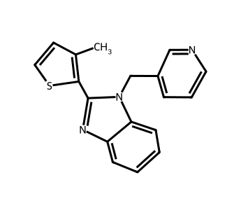 Cc1ccsc1-c1nc2ccccc2n1Cc1cccnc1